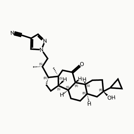 C[C@H](Cn1cc(C#N)cn1)[C@H]1CC[C@H]2[C@@H]3CC[C@@H]4C[C@@](O)(C5CC5)CC[C@@H]4[C@H]3C(=O)C[C@]12C